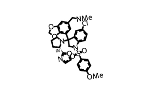 CNCc1cc2c(c(C3(N4CCC[C@H]4c4ncco4)CN(S(=O)(=O)c4ccc(OC)cc4)c4ccc(Cl)cc43)c1)OCO2